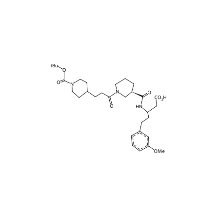 COc1cccc(CCC(CC(=O)O)NC(=O)[C@@H]2CCCN(C(=O)CCC3CCN(C(=O)OC(C)(C)C)CC3)C2)c1